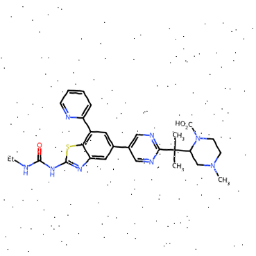 CCNC(=O)Nc1nc2cc(-c3cnc(C(C)(C)C4CN(C)CCN4C(=O)O)nc3)cc(-c3ccccn3)c2s1